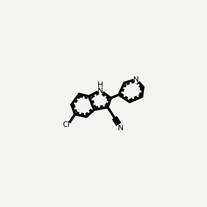 N#Cc1c(-c2cccnc2)[nH]c2ccc(Cl)cc12